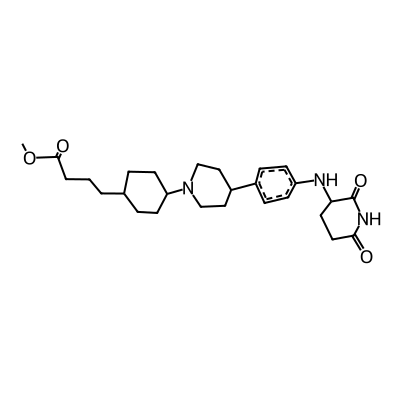 COC(=O)CCCC1CCC(N2CCC(c3ccc(NC4CCC(=O)NC4=O)cc3)CC2)CC1